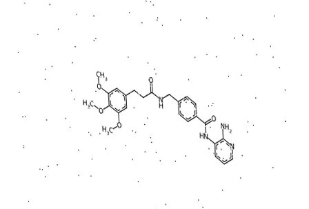 COc1cc(CCC(=O)NCc2ccc(C(=O)Nc3cccnc3N)cc2)cc(OC)c1OC